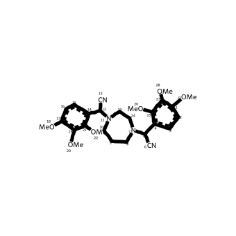 COc1ccc(C(C#N)N2CCCN(C(C#N)c3ccc(OC)c(OC)c3OC)CC2)c(OC)c1OC